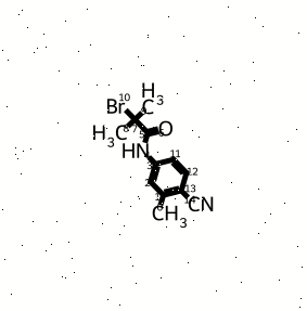 Cc1cc(NC(=O)C(C)(C)Br)ccc1C#N